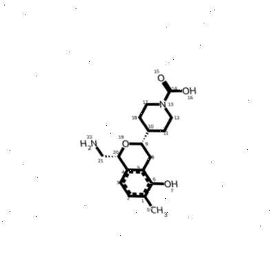 Cc1ccc2c(c1O)C[C@@H](C1CCN(C(=O)O)CC1)O[C@H]2CN